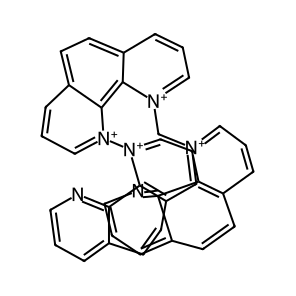 c1cnc2c(c1)ccc1ccc[n+](C[n+]3cccc4ccc5ccc[n+](-[n+]6cccc7ccc8cccnc8c76)c5c43)c12